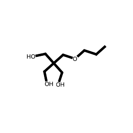 C[CH]COCC(CO)(CO)CO